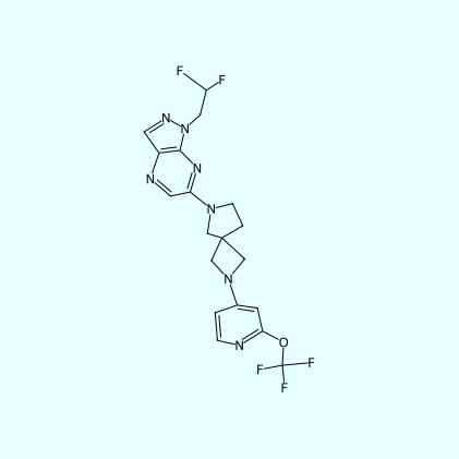 FC(F)Cn1ncc2ncc(N3CCC4(CN(c5ccnc(OC(F)(F)F)c5)C4)C3)nc21